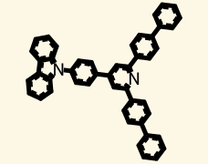 c1ccc(-c2ccc(-c3cc(-c4ccc(-n5c6ccccc6c6ccccc65)cc4)cc(-c4ccc(-c5ccccc5)cc4)n3)cc2)cc1